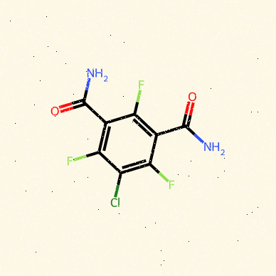 NC(=O)c1c(F)c(Cl)c(F)c(C(N)=O)c1F